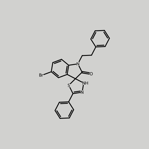 O=C1N(CCc2ccccc2)c2ccc(Br)cc2C12NN=C(c1ccccc1)S2